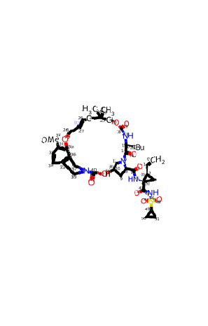 C=C[C@H]1C[C@@]1(NC(=O)C1C[C@@H]2CN1C(=O)[C@H](C(C)(C)C)NC(=O)OCC(C)(C)C/C=C/COc1c(OC)ccc3c1CN(C3)C(=O)O2)C(=O)NS(=O)(=O)C1CC1